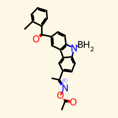 Bn1c2ccc(C(=O)c3ccccc3C)cc2c2cc(/C(C)=N/OC(C)=O)ccc21